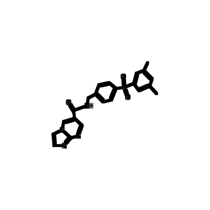 Cc1cc(C)cc(S(=O)(=O)c2ccc(CNC(=O)c3cnc4nccn4c3)cc2)c1